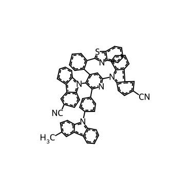 Cc1ccc2c(c1)c1ccccc1n2-c1ccc(-c2nc(-n3c4ccccc4c4cc(C#N)ccc43)cc(-c3ccccc3-c3nc4ccccc4s3)c2-n2c3ccccc3c3cc(C#N)ccc32)cc1